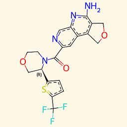 Nc1nc2cnc(C(=O)N3CCOC[C@@H]3c3ccc(C(F)(F)F)s3)cc2c2c1COC2